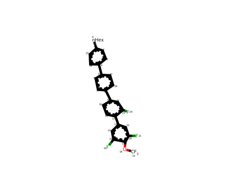 CCCCCCc1ccc(-c2ccc(-c3ccc(-c4cc(F)c(OC(F)(F)F)c(F)c4)c(F)c3)cc2)cc1